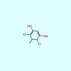 CC1C(Cl)=C(O)C=C(O)C1Cl